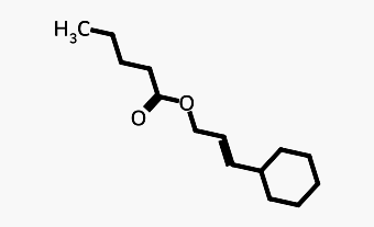 CCCCC(=O)OCC=CC1CCCCC1